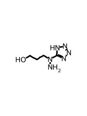 NN(CCCO)c1nnn[nH]1